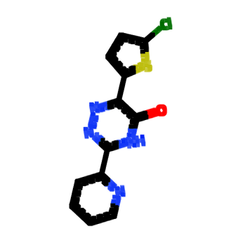 O=c1[nH]c(-c2ccccn2)nnc1-c1ccc(Cl)s1